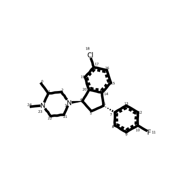 CC1CN([C@@H]2C[C@@H](c3ccc(F)cc3)c3ccc(Cl)cc32)CCN1C